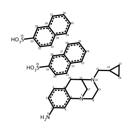 Nc1ccc2c(c1)N1CCN(CC3CC3)C(C2)C1.O=S(=O)(O)c1ccc2ccccc2c1.O=S(=O)(O)c1ccc2ccccc2c1